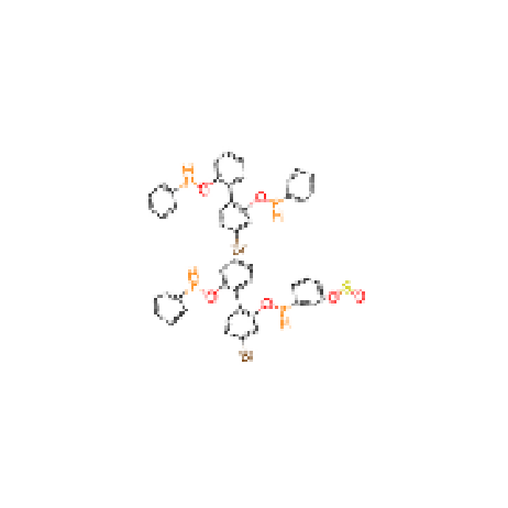 Brc1ccc(-c2ccccc2OPc2ccccc2)c(OPc2ccccc2)c1.Brc1ccc(-c2ccccc2OPc2ccccc2)c(OPc2ccccc2)c1.O=S=O